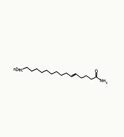 CCCCCCCCCCCCCCCCCCCC=CCCCC(N)=O